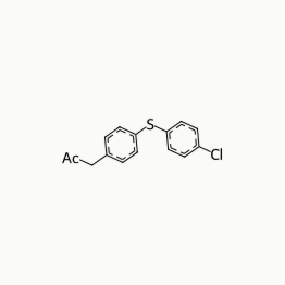 CC(=O)Cc1ccc(Sc2ccc(Cl)cc2)cc1